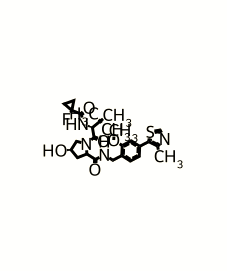 COc1cc(-c2scnc2C)ccc1CNC(=O)C1C[C@@H](O)CN1C(=O)[C@@H](NC(=O)C1(F)CC1)C(C)(C)C